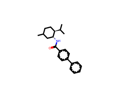 CC1CC[C@@H](C(C)C)[C@H](NC(=O)c2ccc(-c3ccccc3)cc2)C1